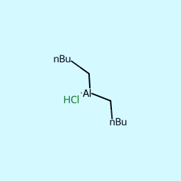 CCCC[CH2][Al][CH2]CCCC.Cl